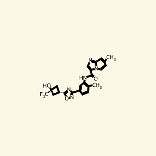 Cc1ccn2c(C(=O)Nc3cc(-c4noc([C@H]5C[C@](O)(C(F)(F)F)C5)n4)ccc3C)cnc2c1